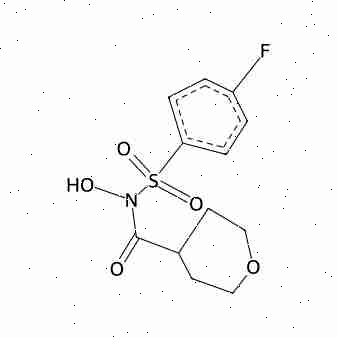 O=C(C1CCOCC1)N(O)S(=O)(=O)c1ccc(F)cc1